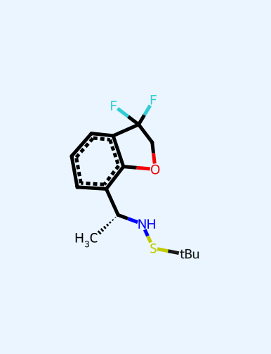 C[C@@H](NSC(C)(C)C)c1cccc2c1OCC2(F)F